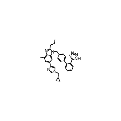 CCCc1nc2c(C)cc(-c3cn(CC4CC4)cn3)cc2n1Cc1ccc(-c2ccccc2-c2nnn[nH]2)cc1